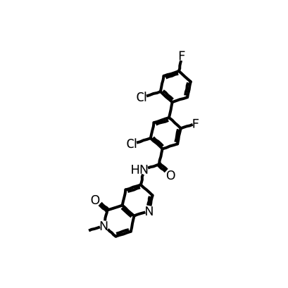 Cn1ccc2ncc(NC(=O)c3cc(F)c(-c4ccc(F)cc4Cl)cc3Cl)cc2c1=O